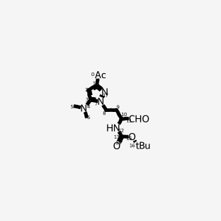 CC(=O)c1cc(N(C)C)n(CCC(C=O)NC(=O)OC(C)(C)C)n1